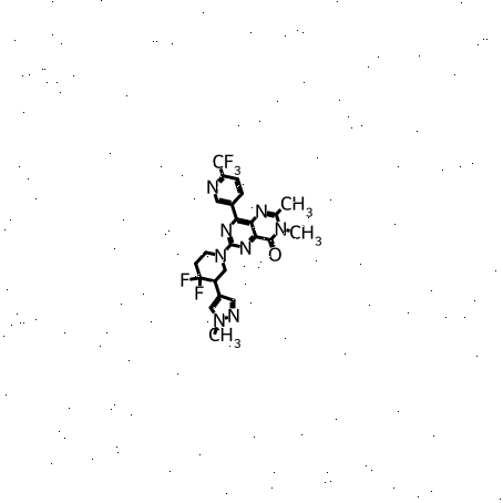 Cc1nc2c(-c3ccc(C(F)(F)F)nc3)nc(N3CCC(F)(F)C(c4cnn(C)c4)C3)nc2c(=O)n1C